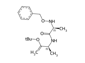 C=C(OC(C)(C)C)[C@H](C)NC(=O)[C@H](C)NOCc1ccccc1